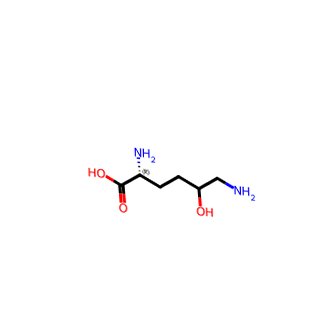 NCC(O)CC[C@@H](N)C(=O)O